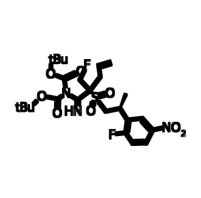 C=CCC(CF)(C(=N)N(C(=O)OC(C)(C)C)C(=O)OC(C)(C)C)S(=O)(=O)C[C@@H](C)c1cc([N+](=O)[O-])ccc1F